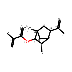 C=C(C)C(=C)OC1[C@H](C)C2CC1(C(=O)O)CC2C(=C)C